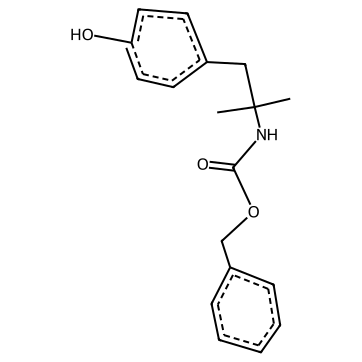 CC(C)(Cc1ccc(O)cc1)NC(=O)OCc1ccccc1